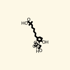 CC(C)(CCCCCCc1ccc(O)c(N2CC(=O)NS2(=O)=O)c1)C(=O)O